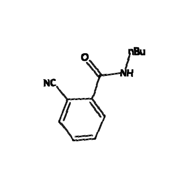 CCCCNC(=O)c1ccccc1C#N